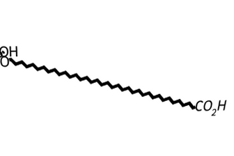 O=C(O)CCCCCCCCCCCCCCCCCCCCCCCCCCCCCCCCCCCCOP(=O)(O)O